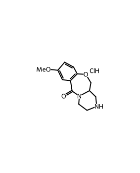 COc1ccc2c(c1)C(=O)N1CCNCC1CO2.Cl